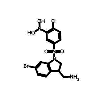 NCC1CN(S(=O)(=O)c2ccc(Cl)c(N(O)O)c2)c2cc(Br)ccc21